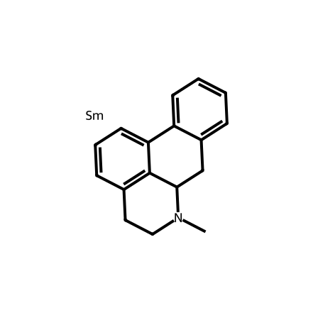 CN1CCc2cccc3c2C1Cc1ccccc1-3.[Sm]